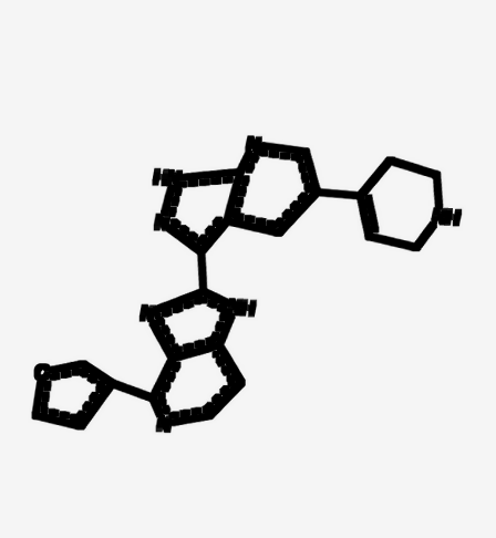 C1=C(c2cnc3[nH]nc(-c4nc5c(-c6ccoc6)nccc5[nH]4)c3c2)CCNC1